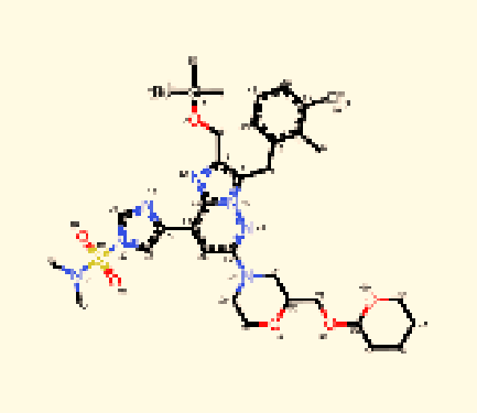 Cc1c(Cc2c(CO[Si](C)(C)C(C)(C)C)nc3c(-c4cn(S(=O)(=O)N(C)C)cn4)cc(N4CCOC(COC5CCCCO5)C4)nn23)cccc1C(F)(F)F